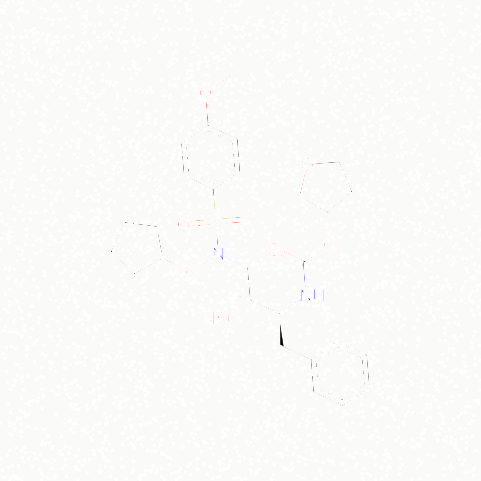 COc1ccc(S(=O)(=O)N(C[C@@H](O)[C@H](Cc2ccccc2)NC(=O)O[C@H]2CCOC2)OC2CCCC2)cc1